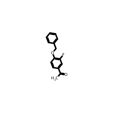 CC(=O)c1ccc(OCc2ccccc2)c(F)c1